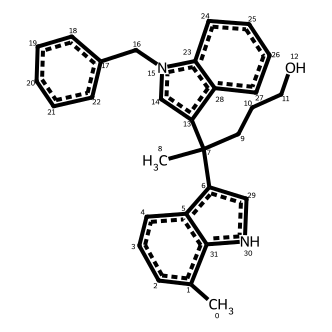 Cc1cccc2c(C(C)(CCCO)c3cn(Cc4ccccc4)c4ccccc34)c[nH]c12